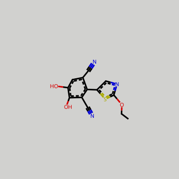 CCOc1ncc(-c2c(C#N)cc(O)c(O)c2C#N)s1